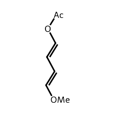 COC=CC=COC(C)=O